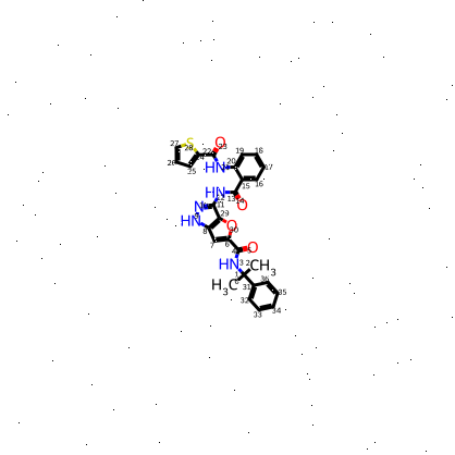 CC(C)(NC(=O)c1cc2[nH]nc(NC(=O)c3ccccc3NC(=O)c3cccs3)c2o1)c1ccccc1